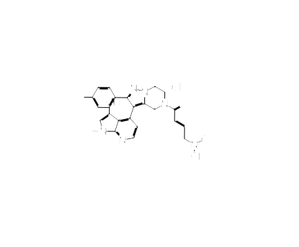 Cc1c[nH]c2nccc(-c3c(-c4ccc(F)cc4)nn4c3CN(C(=O)/C=C/CN(C)C)[C@@H](C)C4)c12